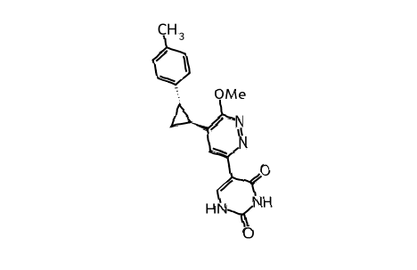 COc1nnc(-c2c[nH]c(=O)[nH]c2=O)cc1[C@H]1C[C@@H]1c1ccc(C)cc1